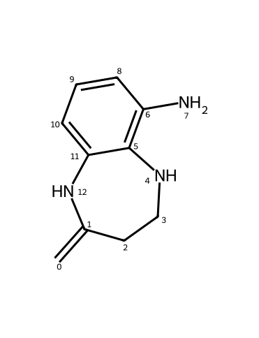 C=C1CCNc2c(N)cccc2N1